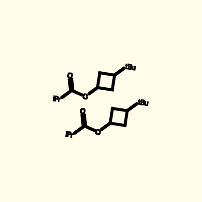 CC(C)C(=O)OC1CC(C(C)(C)C)C1.CC(C)C(=O)OC1CC(C(C)(C)C)C1